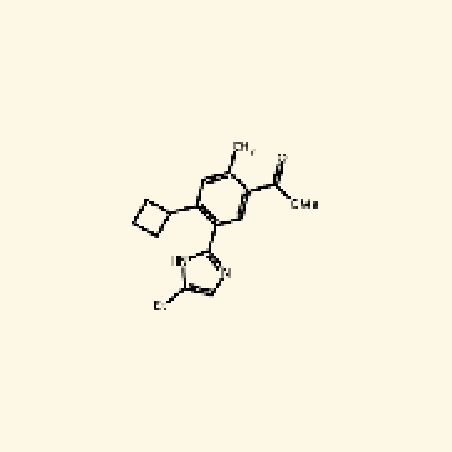 CCc1cnc(-c2cc(C(=O)OC)c(C)cc2C2CCC2)[nH]1